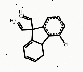 C=CC1(C=C)C2=CC=CCC2c2c(Cl)cccc21